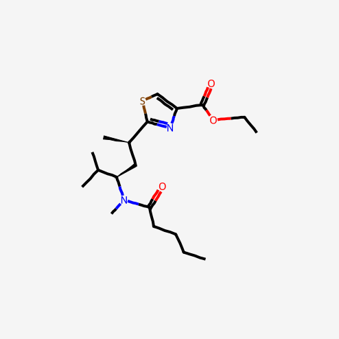 CCCCC(=O)N(C)[C@H](C[C@@H](C)c1nc(C(=O)OCC)cs1)C(C)C